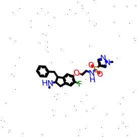 CNC1Cc2cc(F)c(OCCNS(=O)(=O)c3cnn(C)c3)cc2C1Cc1ccccc1